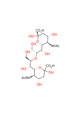 CC(=O)N[C@H]1[C@H]([C@H](O)[C@@H](CO)O[C@H](CO)[C@@H](O)[C@@H]2O[C@@](O)(C(=O)O)C[C@H](O)[C@H]2NC(C)=O)OC(O)(C(=O)O)C[C@@H]1O